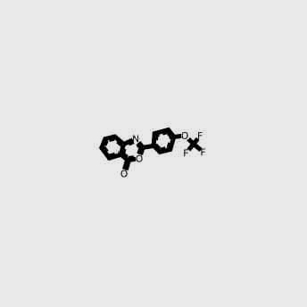 O=c1oc(-c2ccc(OC(F)(F)F)cc2)nc2ccccc12